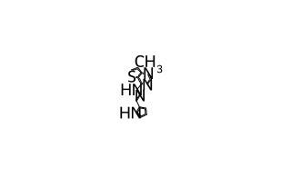 Cc1csc2c(NN=Cc3ccc[nH]3)ncnc12